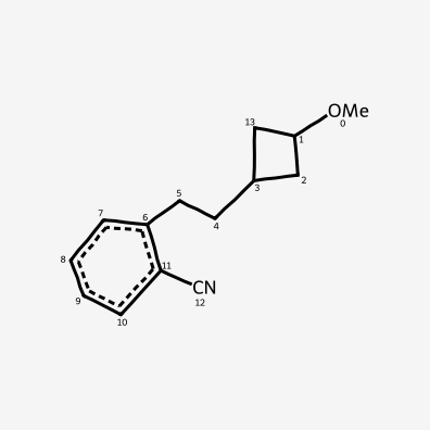 COC1CC(CCc2ccccc2C#N)C1